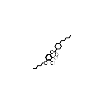 CCCCCOc1ccc(OC(=O)C2CCC(CCCCC)CC2)c(Cl)c1Cl